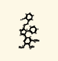 COc1cc(-c2nnc(SCc3ccccc3F)n2-c2ccccc2)cc(OC)c1OC